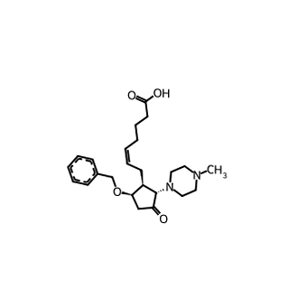 CN1CCN([C@@H]2C(=O)C[C@@H](OCc3ccccc3)[C@H]2C/C=C\CCCC(=O)O)CC1